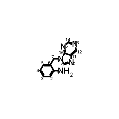 Nc1ccccc1Cn1cnc2cncnc21